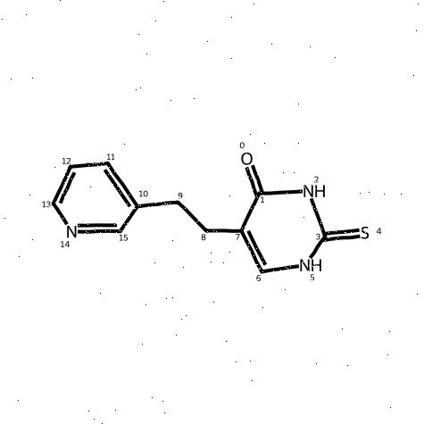 O=c1[nH]c(=S)[nH]cc1CCc1cccnc1